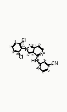 N#Cc1ccnc(Nc2nccc3nn(-c4c(Cl)cccc4Cl)cc23)c1